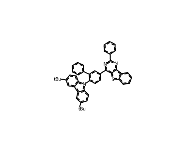 CC(C)(C)c1ccc2c(c1)c1cc(C(C)(C)C)ccc1n2-c1ccc(-c2nc(-c3ccccc3)nc3c2sc2ccccc23)cc1-c1ccccc1